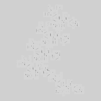 CC1C(=S)Nc2cc([N+](=O)[O-])c(NC(=O)c3ccccn3)cc21.CC1C(=S)Nc2cc([N+](=O)[O-])c(NC(=O)c3cccnc3)cc21.CC1C(=S)Nc2cc([N+](=O)[O-])c(NC(=O)c3ccncc3)cc21.CCC1C(=S)Nc2cc([N+](=O)[O-])c(NC(=O)c3cccnc3)cc21.CCC1C(=S)Nc2cc([N+](=O)[O-])c(NC(=O)c3ccncc3)cc21